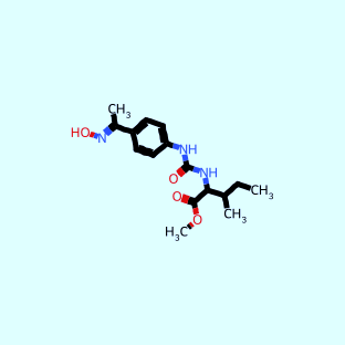 CCC(C)C(NC(=O)Nc1ccc(C(C)=NO)cc1)C(=O)OC